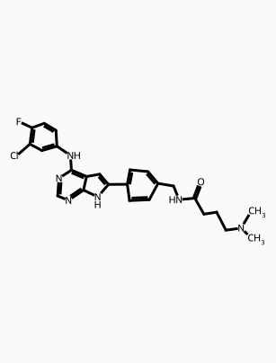 CN(C)CCCC(=O)NCc1ccc(-c2cc3c(Nc4ccc(F)c(Cl)c4)ncnc3[nH]2)cc1